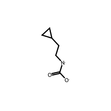 [O]C(=O)[N]CCC1CC1